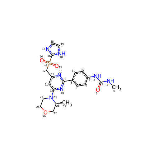 CNC(=O)Nc1ccc(-c2nc(CS(=O)(=O)c3ncc[nH]3)cc(N3CCOC[C@@H]3C)n2)cc1